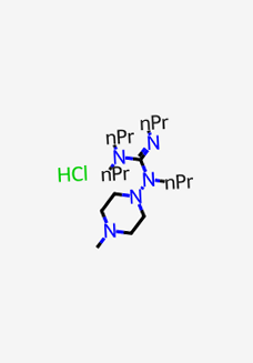 CCCN=C(N(CCC)CCC)N(CCC)N1CCN(C)CC1.Cl